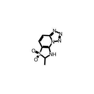 CC1Nc2c(ccc3nnnn23)S1(=O)=O